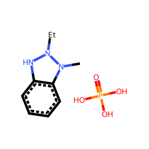 CCN1Nc2ccccc2N1C.O=P(O)(O)O